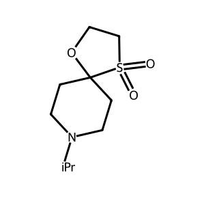 CC(C)N1CCC2(CC1)OCCS2(=O)=O